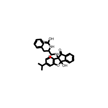 CC(C)c1ccc2c(c1)OC1(O)c3ccccc3C(=O)C21NC(=O)C(Cc1ccccc1)NC(=O)O